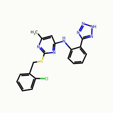 Cc1cc(Nc2ccccc2-c2nn[nH]n2)nc(SCc2ccccc2Cl)n1